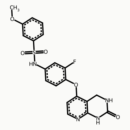 COc1cccc(S(=O)(=O)Nc2ccc(Oc3ccnc4c3CNC(=O)N4)c(F)c2)c1